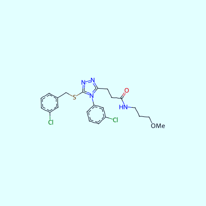 COCCCNC(=O)CCc1nnc(SCc2cccc(Cl)c2)n1-c1cccc(Cl)c1